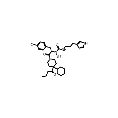 CCCC(=O)C1(C2CCCCC2)CCN(C(=O)[C@@H](Cc2ccc(Cl)cc2)N(S)C(=O)NCCCc2c[nH]cn2)CC1